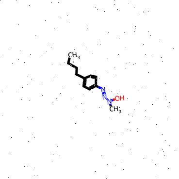 CCCCc1ccc(N=NN(C)O)cc1